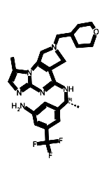 Cc1cnc2nc(N[C@H](C)c3cc(N)cc(C(F)(F)F)c3)c3c(n12)CN(CC1CCOCC1)C3